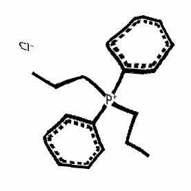 CCC[P+](CCC)(c1ccccc1)c1ccccc1.[Cl-]